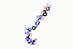 O=C1CC[C@H](c2coc3c(NC(=O)CN4CCN(CC5CCC(n6cc(NC(=O)c7cnn8ccc(N9C[C@H]%10C[C@@H]9CO%10)nc78)c(C(F)F)n6)CC5)CC4)cccc23)C(=O)N1